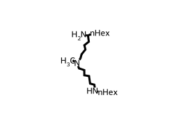 CCCCCCNCCCCCCN(C)CCCCCC(N)CCCCCC